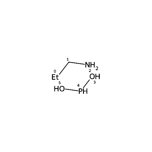 CCCN.OPO